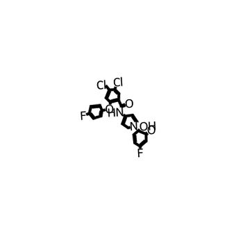 O=C(NC1=CCN(C2(O)C=CC(F)=CC2=O)C=C1)c1cc(Cl)c(Cl)cc1Oc1ccc(F)cc1